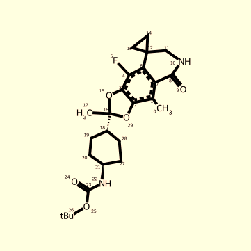 Cc1c2c(c(F)c3c1C(=O)NCC31CC1)OC(C)([C@H]1CC[C@H](NC(=O)OC(C)(C)C)CC1)O2